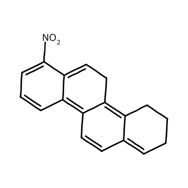 O=[N+]([O-])c1cccc2c1=CCc1c3c(ccc1=2)=CCCC3